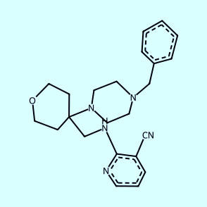 N#Cc1cccnc1NCC1(N2CCN(Cc3ccccc3)CC2)CCOCC1